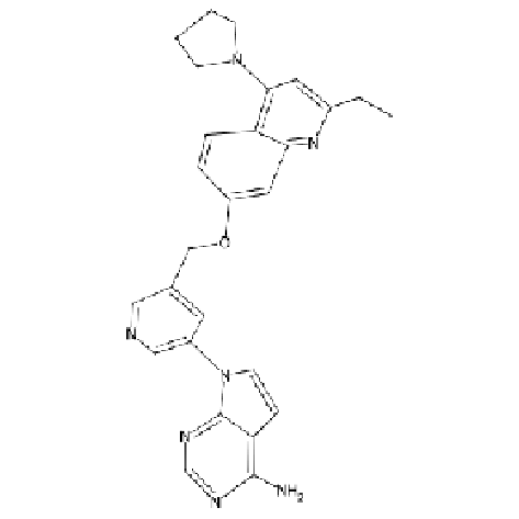 CCc1cc(N2CCCC2)c2ccc(OCc3cncc(-n4ccc5c(N)ncnc54)c3)cc2n1